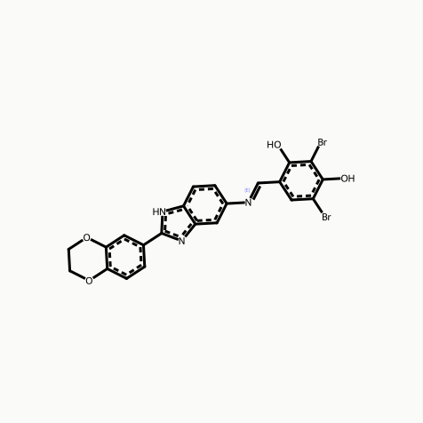 Oc1c(Br)cc(/C=N/c2ccc3[nH]c(-c4ccc5c(c4)OCCO5)nc3c2)c(O)c1Br